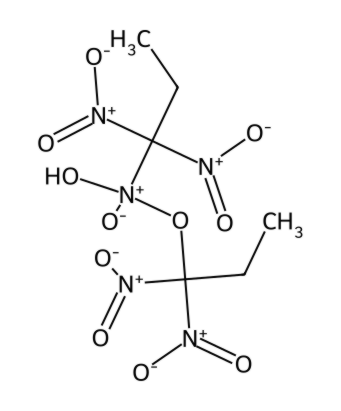 CCC(O[N+]([O-])(O)C(CC)([N+](=O)[O-])[N+](=O)[O-])([N+](=O)[O-])[N+](=O)[O-]